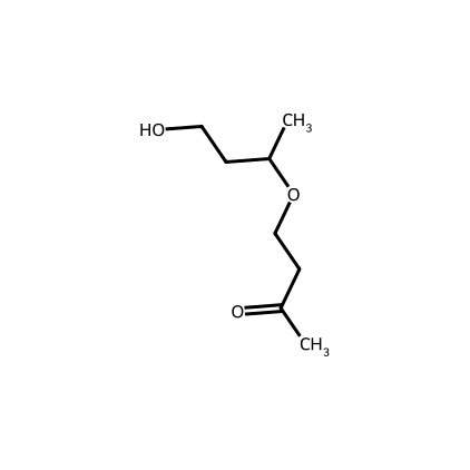 CC(=O)CCOC(C)CCO